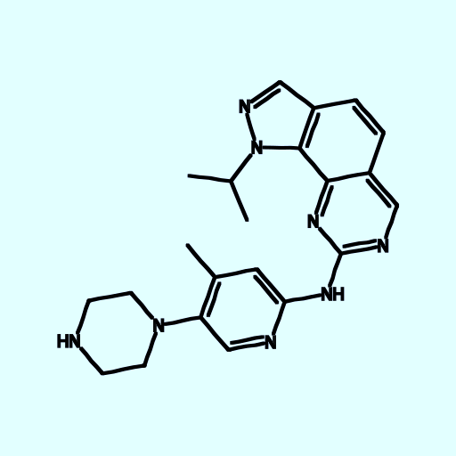 Cc1cc(Nc2ncc3ccc4cnn(C(C)C)c4c3n2)ncc1N1CCNCC1